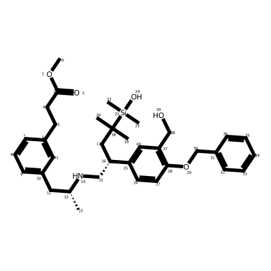 COC(=O)CCc1cccc(C[C@@H](C)NC[C@H](CC(C)(C)[Si](C)(C)O)c2ccc(OCc3ccccc3)c(CO)c2)c1